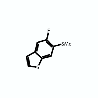 CSc1cc2s[c]cc2cc1F